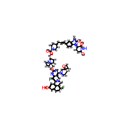 CCc1c(F)ccc2cc(O)cc(-c3ncc4c(N5CCC[C@]6(CCO6)C5)nc(OC[C@@]56CCCN5[C@H](COC(=O)N5CCC(CC#Cc7ccc8c(c7)n(C)c(=O)n8C7CCC(=O)NC7=O)CC5)CC6)nc4c3F)c12